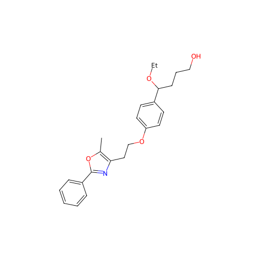 CCOC(CCCO)c1ccc(OCCc2nc(-c3ccccc3)oc2C)cc1